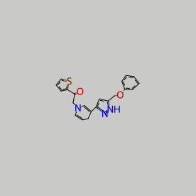 O=C(CN1C=CCC(c2cc(COc3ccccc3)[nH]n2)=C1)c1cccs1